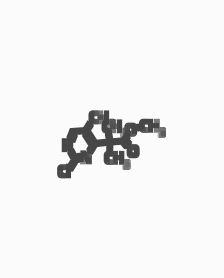 COC(=O)C(C)(C)c1nc(Cl)ncc1C